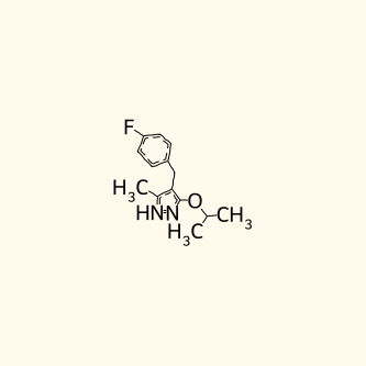 Cc1[nH]nc(OC(C)C)c1Cc1ccc(F)cc1